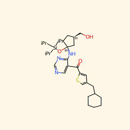 CC(C)[Si](O[C@]1(Nc2ncncc2C(=O)c2cc(CC3CCCCC3)cs2)CC[C@@H](CO)C1)(C(C)C)C(C)C